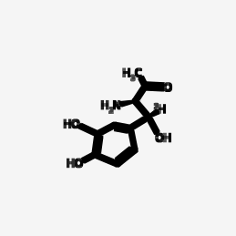 [2H][C@@](O)(c1ccc(O)c(O)c1)[C@@H](N)C(C)=O